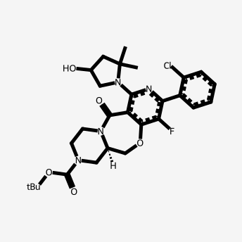 CC(C)(C)OC(=O)N1CCN2C(=O)c3c(N4CC(O)CC4(C)C)nc(-c4ccccc4Cl)c(F)c3OC[C@H]2C1